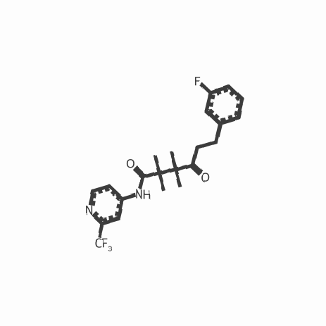 CC(C)(C(=O)CCc1cccc(F)c1)C(C)(C)C(=O)Nc1ccnc(C(F)(F)F)c1